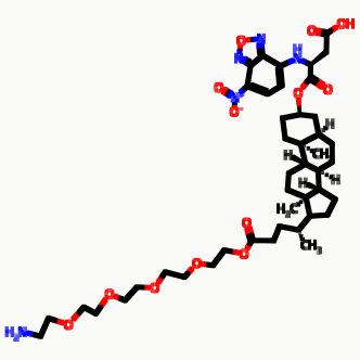 C[C@H](CCC(=O)OCCOCCOCCOCCOCCN)C1CC[C@H]2[C@@H]3CC[C@@H]4C[C@H](OC(=O)[C@H](CC(=O)O)Nc5ccc([N+](=O)[O-])c6nonc56)CC[C@]4(C)[C@H]3CC[C@]12C